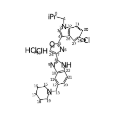 CC(C)Cn1cc(-c2nc(-c3nc4cc(CN5CCCCC5)ccc4[nH]3)co2)c2cc(Cl)ccc21.Cl.Cl